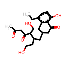 CCc1ccc(O)c2c1CC(CC(CCO)C(CO)C(=O)CC(C)=O)CC2=O